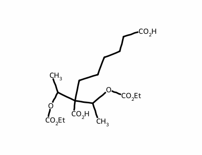 CCOC(=O)OC(C)C(CCCCCC(=O)O)(C(=O)O)C(C)OC(=O)OCC